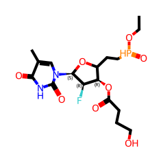 CCO[PH](=O)CCC1O[C@H](n2cc(C)c(=O)[nH]c2=O)[C@H](F)[C@@H]1OC(=O)CCCO